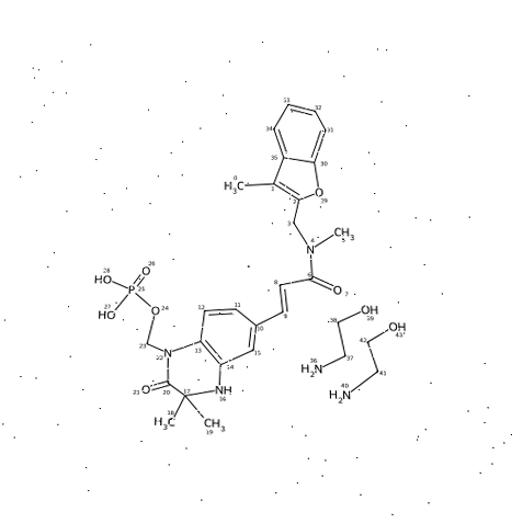 Cc1c(CN(C)C(=O)/C=C/c2ccc3c(c2)NC(C)(C)C(=O)N3COP(=O)(O)O)oc2ccccc12.NCCO.NCCO